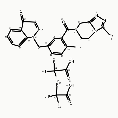 CCc1nnc2n1CCN(C(=O)c1cc(Cn3ncc(=O)c4ccccc43)ccc1F)C2.O=C(O)C(F)(F)F.O=C(O)C(F)(F)F